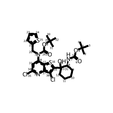 CC(C)(C)OC(=O)N[C@H]1CCCCC1(O)c1sc2c(N(Cc3cccs3)C(=O)OC(C)(C)C)cc(Cl)nc2c1Cl